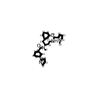 CN(C(=O)c1cccc(-n2cccn2)c1)C(CCNC(=O)c1cccn1C)Cc1ccccc1